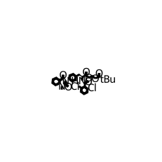 Cn1c(=O)n(-c2ccc(C[C@H](NC(=O)c3c(Cl)cccc3Cl)C(=O)OCOC(=O)C(C)(C)C)cc2)c(=O)c2ccccc21